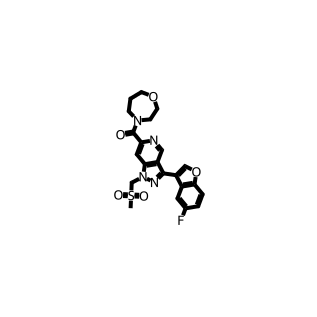 CS(=O)(=O)Cn1nc(-c2coc3ccc(F)cc23)c2cnc(C(=O)N3CCCOCC3)cc21